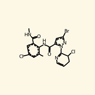 CNC(=O)c1cc(Cl)cc(C)c1NC(=O)c1cc(Br)nn1C1=NC=CCC1Cl